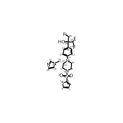 O=S(=O)(c1cccs1)N1CCN(c2ccc(C(O)(CF)C(F)F)cc2)[C@@H](Cn2ccnc2)C1